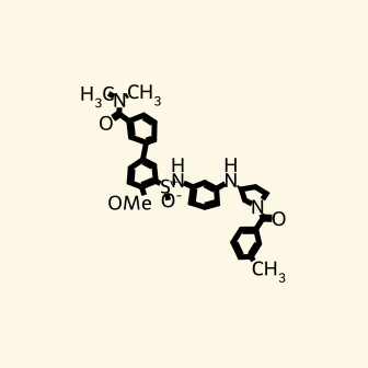 COc1ccc(-c2cccc(C(=O)N(C)C)c2)cc1[S+]([O-])Nc1cccc(N[C@@H]2CCN(C(=O)c3cccc(C)c3)C2)c1